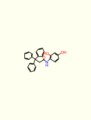 O=C(CC(c1ccccc1)(c1ccccc1)c1ccccc1)Nc1ccc(O)cc1O